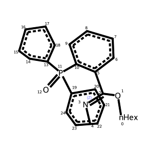 CCCCCCO/C(=N\C)c1ccccc1P(=O)(c1ccccc1)c1ccccc1